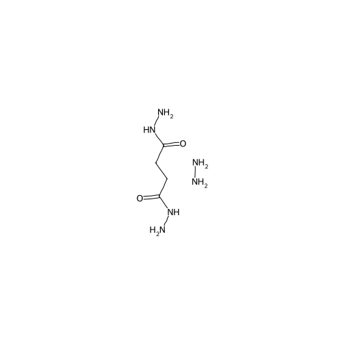 NN.NNC(=O)CCC(=O)NN